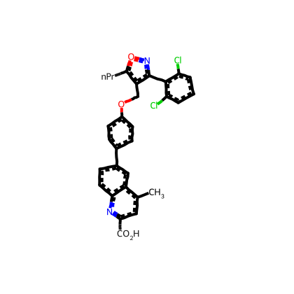 CCCc1onc(-c2c(Cl)cccc2Cl)c1COc1ccc(-c2ccc3nc(C(=O)O)cc(C)c3c2)cc1